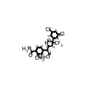 CON=C(C1=NOC(c2cc(Cl)cc(Cl)c2)(C(F)(F)F)C1)c1ccc(C(N)=O)c(C)c1